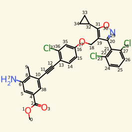 COC(=O)c1cc(N)c(C)c(C#Cc2ccc(OCc3c(-c4c(Cl)cccc4Cl)noc3C3CC3)cc2Cl)c1